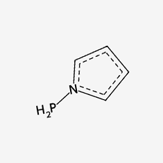 Pn1cccc1